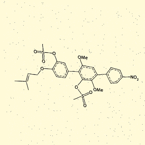 COc1cc(-c2ccc([N+](=O)[O-])cc2)c(OC)c(OS(C)(=O)=O)c1-c1ccc(OCC=C(C)C)c(OS(C)(=O)=O)c1